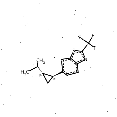 CC(C)[C@H]1C[C@@H]1c1ccc2nc(C(F)(F)F)sc2c1